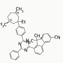 CCC1(c2ccc(-c3nc(-c4ccccc4)nc(-c4cccc5c4C(C)(C)c4ccc(C#N)cc4-5)n3)cc2)C[C@H](C)CC[C@H](C)C1